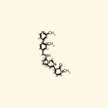 Cc1cc(-c2ccc(CNc3nnc4cc(-c5cccn(C)c5=O)ncn34)cc2C)ccn1